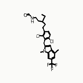 CCC(CCNC=O)CCc1ccc(Cl)c(Cc2cc3c(C)cc(C(F)(F)F)cc3n2C)c1Cl